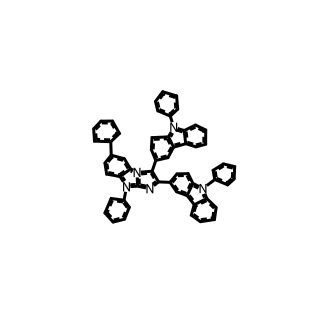 c1ccc(-c2ccc3c(c2)n2c(-c4ccc5c(c4)c4ccccc4n5-c4ccccc4)c(-c4ccc5c(c4)c4ccccc4n5-c4ccccc4)nc2n3-c2ccccc2)cc1